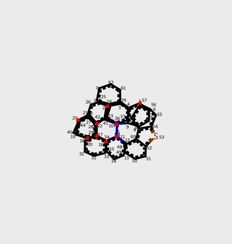 c1ccc(-c2ccccc2N(c2ccccc2-c2ccccc2)c2ccccc2-c2ccccc2N(c2ccccc2-c2ccccc2)c2cccc3sc4ccccc4c23)cc1